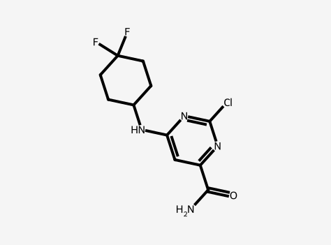 NC(=O)c1cc(NC2CCC(F)(F)CC2)nc(Cl)n1